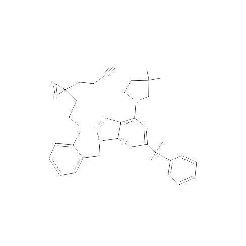 C#CCCC1(CCOc2ccccc2Cn2nnc3c(N4CCC(F)(F)C4)nc(C(F)(F)c4ccccc4)nc32)N=N1